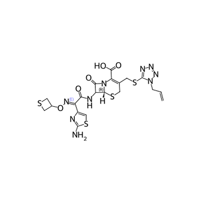 C=CCn1nnnc1SCC1=C(C(=O)O)N2C(=O)C(NC(=O)/C(=N/OC3CSC3)c3csc(N)n3)[C@H]2SC1